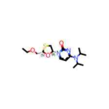 CCOC[C@H]1O[C@@H](n2ccc(N(C(C)C)C(C)C)nc2=O)CS1